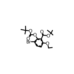 CCOc1ccc(Br)c(OC(=O)OC(C)(C)C)c1C(=O)OC(C)(C)C